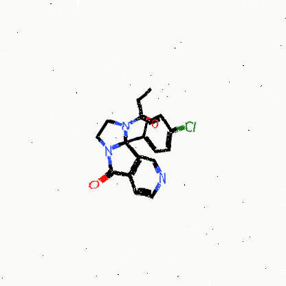 CCC(=O)N1CCN2C(=O)c3ccncc3C12c1ccc(Cl)cc1